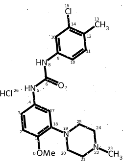 COc1ccc(NC(=O)Nc2ccc(C)c(Cl)c2)cc1N1CCN(C)CC1.Cl